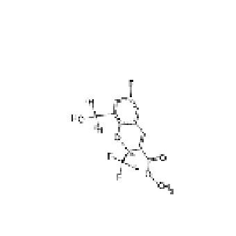 [2H]C([2H])(O)c1cc(F)cc2c1O[C@H](C(F)(F)F)C(C(=O)OC)=C2